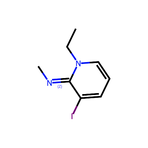 CCn1cccc(I)/c1=N/C